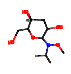 CON(C(C)C)C1OC(CO)[C@@H](O)CC1O